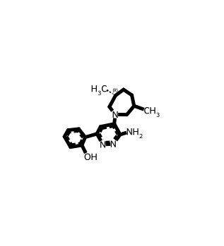 CC1CC[C@@H](C)CN(c2cc(-c3ccccc3O)nnc2N)C1